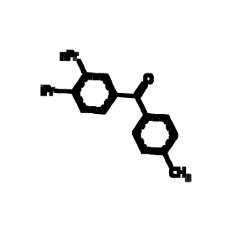 CCCc1cc(C(=O)c2ccc(C)cc2)ccc1C(C)C